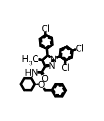 CC1C(C(=O)N[C@H]2CCCC[C@@H]2OCc2ccccc2)=NN(c2ccc(Cl)cc2Cl)C1c1ccc(Cl)cc1